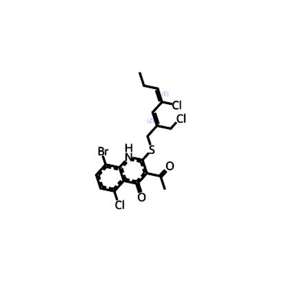 CC/C=C(Cl)\C=C(/CCl)CSc1[nH]c2c(Br)ccc(Cl)c2c(=O)c1C(C)=O